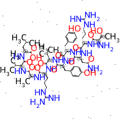 CC(C)C[C@H](NC(=O)[C@@H](NC(=O)[C@H](C)NC(=O)[C@H](CCCNC(=N)N)NC(=O)[C@@H](NC(=O)[C@H](Cc1ccc(O)cc1)NC(=O)[C@H](Cc1ccc(O)cc1)NC(=O)[C@H](CC(N)=O)NC(=O)[C@H](CCCNC(=N)N)NC(=O)[C@@H](N)[C@@H](C)O)C(C)C)C(C)C)C(=O)O